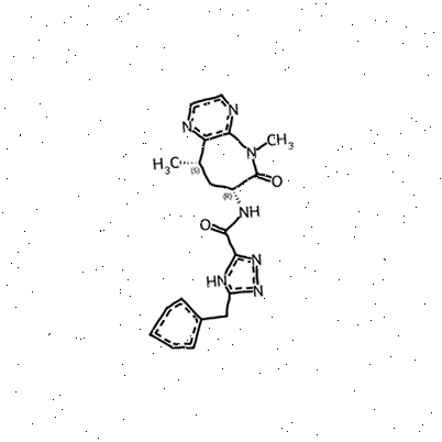 C[C@H]1C[C@@H](NC(=O)c2nnc(Cc3ccccc3)[nH]2)C(=O)N(C)c2nccnc21